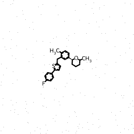 Cc1ccc([C@@H]2CCCC(C)O2)cc1Cc1ccc(-c2ccc(F)cc2)s1